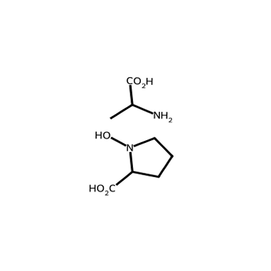 CC(N)C(=O)O.O=C(O)C1CCCN1O